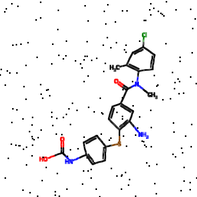 Cc1cc(Cl)ccc1N(C)C(=O)c1ccc(Sc2ccc(NC(=O)O)cc2)c(N)c1